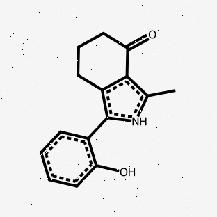 Cc1[nH]c(-c2ccccc2O)c2c1C(=O)CCC2